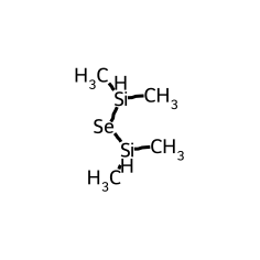 C[SiH](C)[Se][SiH](C)C